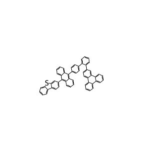 c1ccc(-c2ccc3c4ccccc4c4ccccc4c3c2)c(-c2ccc(-c3c4ccccc4c(-c4ccc5c(c4)sc4ccccc45)c4ccccc34)cc2)c1